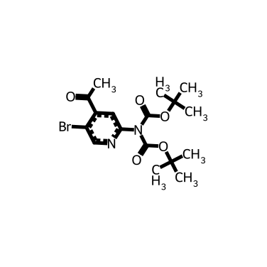 CC(=O)c1cc(N(C(=O)OC(C)(C)C)C(=O)OC(C)(C)C)ncc1Br